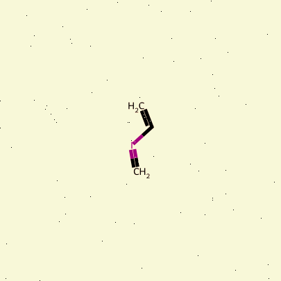 C=CI=C